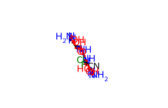 C[C@]1(CCc2ccc3nc(NC(=O)OCCCCCNc4nc5cc(CC[C@@]6(C#N)C[C@@H](n7ccc8c(N)ncnc87)[C@H](O)[C@@H]6O)cc(F)c5cc4Cl)ccc3c2)C[C@@H](n2ccc3c(N)ncnc32)[C@H](O)[C@@H]1O